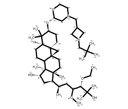 CCO[C@@H](C(C[C@@H](C)[C@H]1C[C@H](O)[C@@]2(C)C3CC[C@H]4C(C)(C)[C@@H](O[C@H]5CN(CC6CN(CC(C)(C)C)C6)CCO5)CC[C@@]45C[C@@]35CC[C@]12C)OC)C(C)(C)O